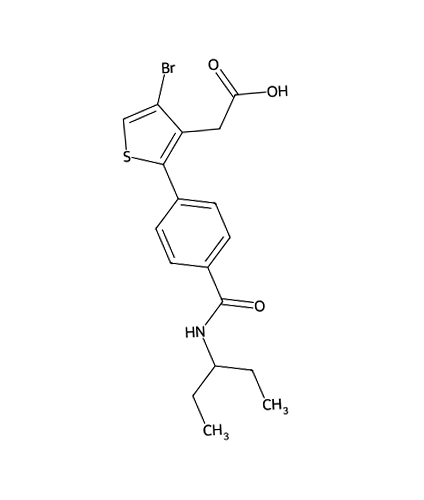 CCC(CC)NC(=O)c1ccc(-c2scc(Br)c2CC(=O)O)cc1